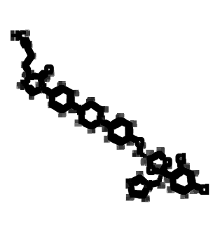 C#CCCn1ncn(-c2ccc(N3CCN(c4ccc(OC[C@@H]5CO[C@@](Cn6ccnc6)(c6ccc(Cl)cc6Cl)O5)cc4)CC3)cc2)c1=O